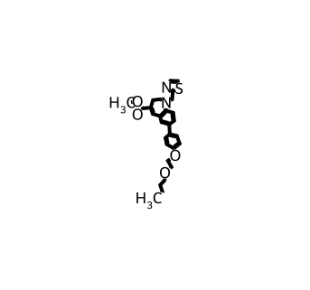 CCCCOCCOc1ccc(-c2ccc3c(c2)C=C(C(=O)OC)CCN3Cc2nccs2)cc1